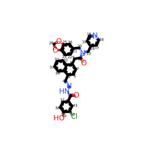 O=C(N/N=C/c1ccc(CC(=O)N(Cc2ccncc2)Cc2ccc3c(c2)OCO3)c2ccccc12)c1ccc(O)c(Cl)c1